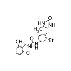 C=C1NC(=O)NC1Cc1ccc(NC(=O)NCc2c(C)cccc2Cl)cc1CC